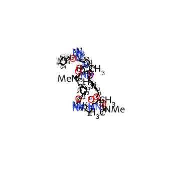 CNC(C)C(=O)NC(C(=O)N1CCCC1Cn1nnnc1OCc1ccccc1)C(C)OCC#CC#CCOC(C)C(NC(=O)C(C)NC)C(=O)N1CCCC1Cn1nnnc1OCc1ccccc1